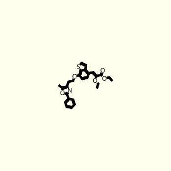 CCOC(=O)C(=Cc1ccc(OCCc2nc(-c3ccccc3)oc2C)c2sccc12)OCC